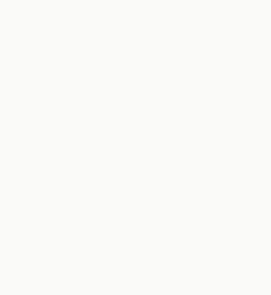 CCc1ccc([Si](c2ccccc2)(c2ccccc2)c2ccccc2)cc1